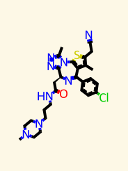 Cc1c(CC#N)sc2c1C(c1ccc(Cl)cc1)=N[C@@H](CC(=O)NCCCN1CCN(C)CC1)c1nnc(C)n1-2